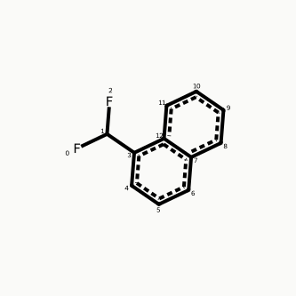 FC(F)c1cccc2ccccc12